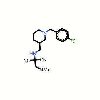 CNCC(C#N)(C#N)NCC1CCCN(Cc2ccc(Cl)cc2)C1